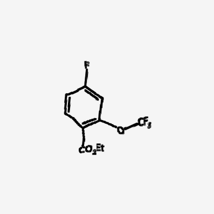 CCOC(=O)c1ccc(F)cc1OC(F)(F)F